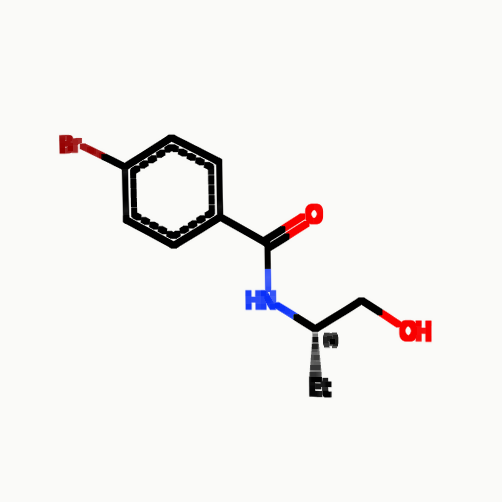 CC[C@@H](CO)NC(=O)c1ccc(Br)cc1